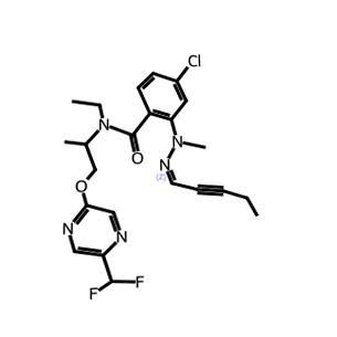 CCC#C/C=N\N(C)c1cc(Cl)ccc1C(=O)N(CC)C(C)COc1cnc(C(F)F)cn1